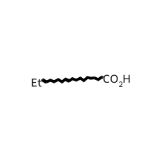 CCC=CCCCCC=CCCCCCCCCCC(=O)O